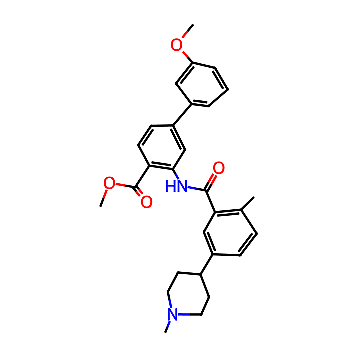 COC(=O)c1ccc(-c2cccc(OC)c2)cc1NC(=O)c1cc(C2CCN(C)CC2)ccc1C